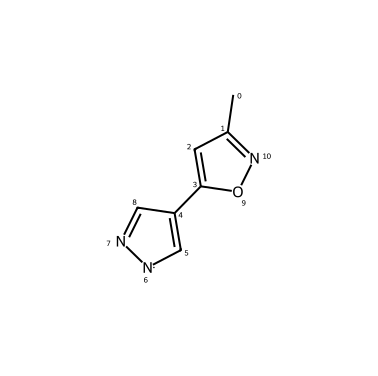 Cc1cc(C2=C[N]N=C2)on1